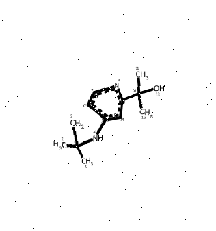 CC(C)(C)Nc1ccnc(C(C)(C)O)c1